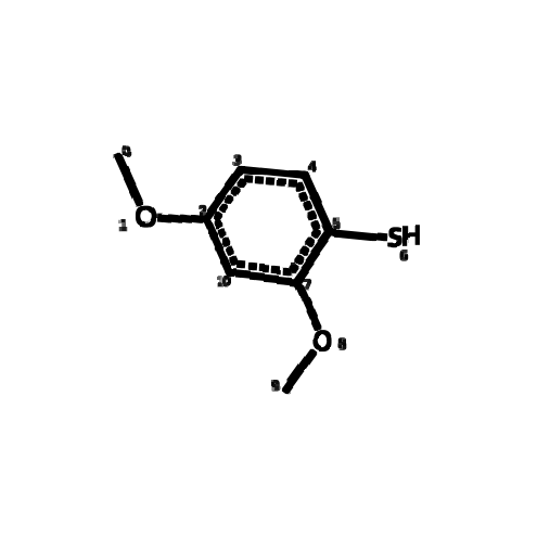 COc1ccc(S)c(OC)c1